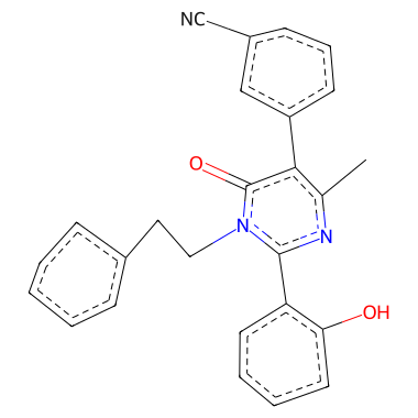 Cc1nc(-c2ccccc2O)n(CCc2ccccc2)c(=O)c1-c1cccc(C#N)c1